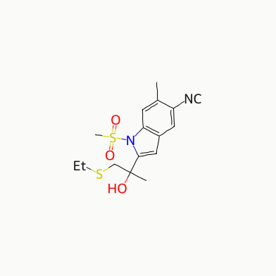 [C-]#[N+]c1cc2cc(C(C)(O)CSCC)n(S(C)(=O)=O)c2cc1C